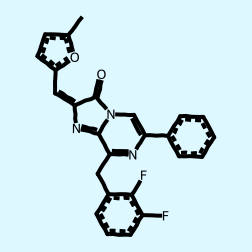 Cc1ccc(/C=C2/N=C3C(Cc4cccc(F)c4F)=NC(c4ccccc4)=CN3C2=O)o1